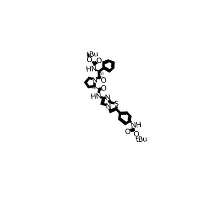 CC(C)(C)OC(=O)Nc1ccc(-c2cn3cc(NC(=O)[C@@H]4CCCN4C(=O)[C@@H](NC(=O)OC(C)(C)C)c4ccccc4)nc3s2)cc1